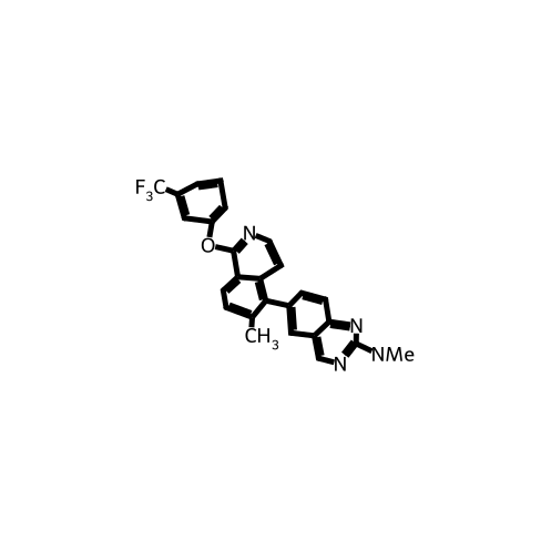 CNc1ncc2cc(-c3c(C)ccc4c(Oc5cccc(C(F)(F)F)c5)nccc34)ccc2n1